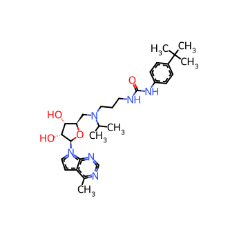 Cc1ncnc2c1ccn2[C@@H]1O[C@H](CN(CCCNC(=O)Nc2ccc(C(C)(C)C)cc2)C(C)C)[C@@H](O)[C@H]1O